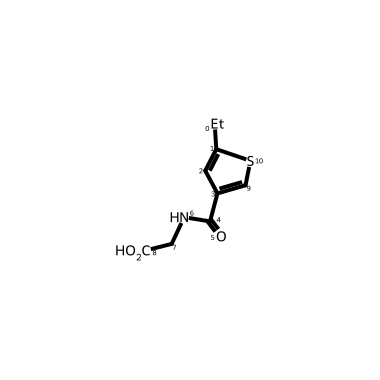 CCc1cc(C(=O)NCC(=O)O)cs1